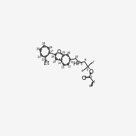 C=CC(=O)OC(C)(C)CPCc1ccc2cc(-c3ccccc3CC)oc2c1